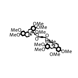 COc1cc2c(cc1OC)[C@@H](Cc1cc(OC)c(OC)c(OC)c1)[N@+](C)(CCCOC(=O)C#CC(=O)OCCC[N@+]1(C)CCc3cc(OC)c(OC)cc3[C@H]1Cc1cc(OC)c(OC)c(OC)c1)CC2